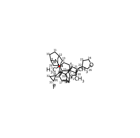 CC(C)C1CCC(C)(N2C3CCC2CN(c2ccnn4cc(C5CCOC5)cc24)C3)C([C@@H]2C[C@H]2F)C1=O